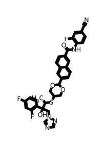 CC(SC1COC(c2ccc3cc(C(=O)Nc4ccc(C#N)cc4F)ccc3c2)OC1)C(O)(Cn1cncn1)c1ccc(F)cc1F